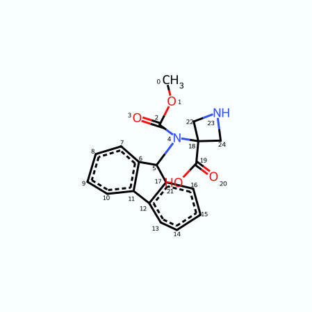 COC(=O)N(C1c2ccccc2-c2ccccc21)C1(C(=O)O)CNC1